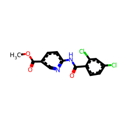 COC(=O)c1ccc(NC(=O)c2ccc(Cl)cc2Cl)nc1